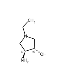 CCN1C[C@H](N)[C@@H](O)C1